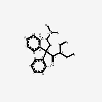 CCC(CC)C(=O)C(C[C@H](C)N(C)C)(c1ccccc1)c1ccccc1